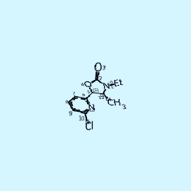 CCN1C(=O)O[C@H](c2cccc(Cl)n2)[C@@H]1C